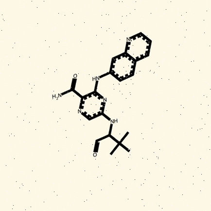 CC(C)(C)C(C=O)Nc1cnc(C(N)=O)c(Nc2ccc3cccnc3c2)n1